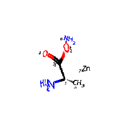 C[C@H](N)C(=O)ON.[Zn]